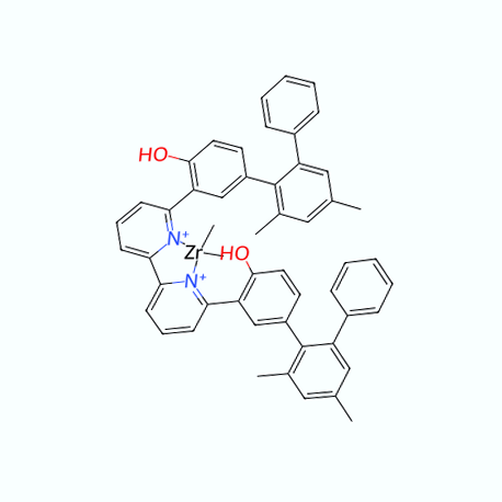 Cc1cc(C)c(-c2ccc(O)c(-c3cccc4[n+]3[Zr]([CH3])([CH3])[n+]3c(-c5cc(-c6c(C)cc(C)cc6-c6ccccc6)ccc5O)cccc3-4)c2)c(-c2ccccc2)c1